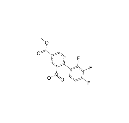 COC(=O)c1ccc(-c2ccc(F)c(F)c2F)c([N+](=O)[O-])c1